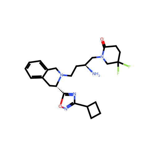 N[C@@H](CCN1Cc2ccccc2C[C@H]1c1nc(C2CCC2)no1)CN1CC(F)(F)CCC1=O